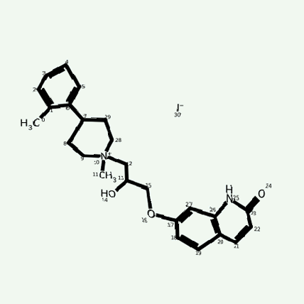 Cc1ccccc1C1CC[N+](C)(CC(O)COc2ccc3ccc(=O)[nH]c3c2)CC1.[I-]